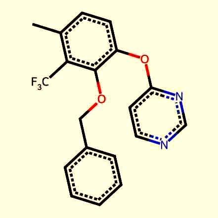 Cc1ccc(Oc2ccncn2)c(OCc2ccccc2)c1C(F)(F)F